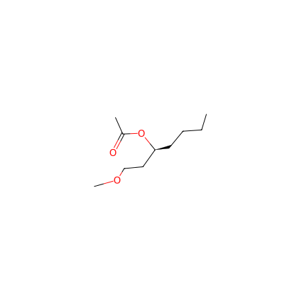 CCCC[C@@H](CCOC)OC(C)=O